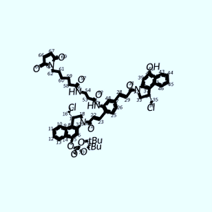 CC(C)(C)OP(=O)(Oc1cc2c(c3ccccc13)[C@H](CCl)CN2C(=O)/C=C/c1ccc(/C=C/C(=O)N2C[C@@H](CCl)c3c2cc(O)c2ccccc32)cc1NC(=O)CCNC(=O)CCCCCN1C(=O)C=CC1=O)OC(C)(C)C